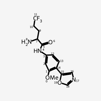 COc1cc(NC(=O)C(N)CCC(F)(F)F)ccc1-c1cnco1